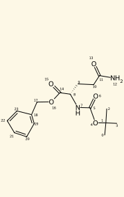 CC(C)(C)OC(=O)N[C@@H](CCC(N)=O)C(=O)OCc1ccccc1